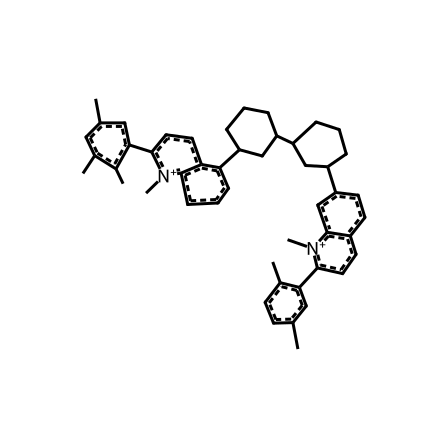 Cc1ccc(C)c(-c2ccc3ccc(C4CCCC(C5CCCC(c6cccc7c6ccc(-c6cc(C)cc(C)c6C)[n+]7C)C5)C4)cc3[n+]2C)c1